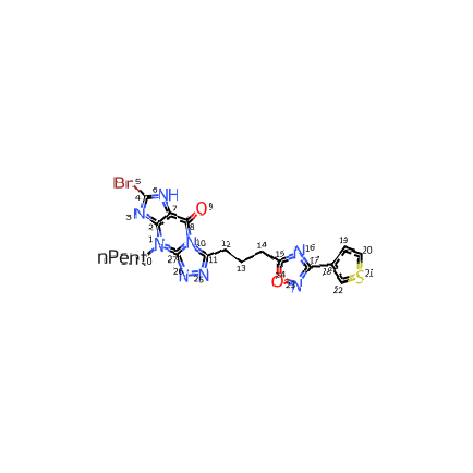 CCCCCn1c2nc(Br)[nH]c2c(=O)n2c(CCCc3nc(-c4ccsc4)no3)nnc12